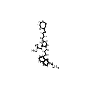 COc1ccc2nccc(CCC[C@@H]3CCN(CCCSC4CCCCCC4)C[C@@H]3CC(=O)O)c2c1